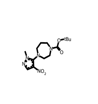 Cn1ncc([N+](=O)[O-])c1N1CCCN(C(=O)OC(C)(C)C)CC1